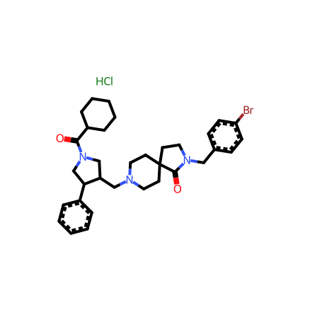 Cl.O=C(C1CCCCC1)N1CC(CN2CCC3(CC2)CCN(Cc2ccc(Br)cc2)C3=O)C(c2ccccc2)C1